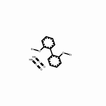 CCOc1ccccc1-c1ccccc1OCC.N=C=O.N=C=O